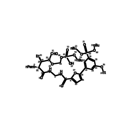 CCCCC[C@@H](C(=O)NCNC(=O)c1ccc(-c2cc(OCC)cc(P(=O)(OCCCC)OCCCC)c2)o1)[C@@H](CC)N(C=O)OCOP(=O)(O)OCCCC